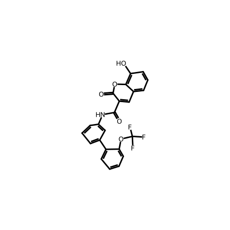 O=C(Nc1cccc(-c2ccccc2OC(F)(F)F)c1)c1cc2cccc(O)c2oc1=O